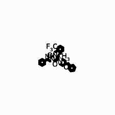 Cc1c(N2CCC(O)(Cc3ccccc3)CC2)c(=O)n(C[C@H](N)c2ccccc2)c(=O)n1Cc1c(F)cccc1C(F)(F)F